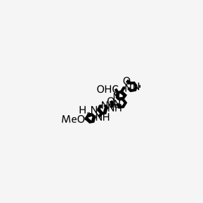 COc1ccc(Nc2cc(NC(=O)N3CCCc4cc(CN5CCN(C)CC5=O)c(C=O)nc43)ncc2N)cc1